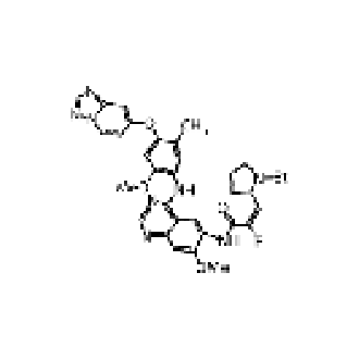 CCN1CCC[C@@H]1/C=C(/F)C(=O)Nc1cc2c(Nc3cc(C)c(Oc4ccn5ncnc5c4)cc3OC)ncnc2cc1OC